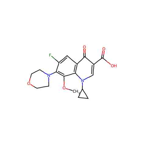 COc1c(N2CCOCC2)c(F)cc2c(=O)c(C(=O)O)cn(C3CC3)c12